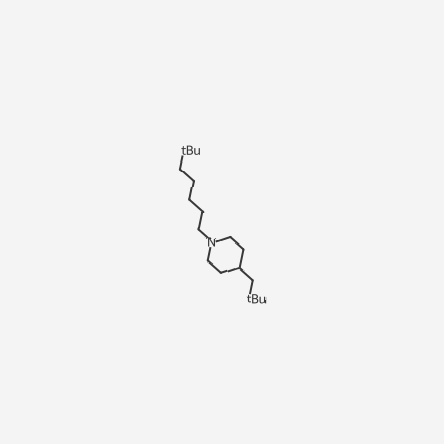 CC(C)(C)CCCCCN1CCC(CC(C)(C)C)CC1